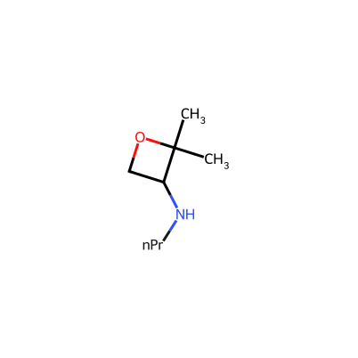 CCCNC1COC1(C)C